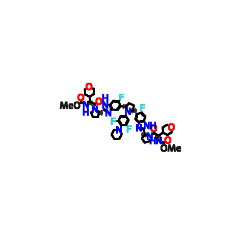 COC(=O)N[C@H](C(=O)N1CCC[C@H]1c1nc2cc([C@H]3CC[C@H](c4cc5nc([C@@H]6CCCN6C(=O)[C@@H](NC(=O)OC)C6CCOCC6)[nH]c5cc4F)N3c3cc(F)c(N4CCCCC4)c(F)c3)c(F)cc2[nH]1)C1CCOCC1